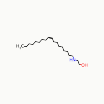 CCCCCCCC/C=C\CCCCCCCCNCCO